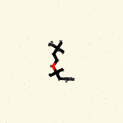 CC(=O)NCC(C)(C)OCCC(C)(C)C(C)=O